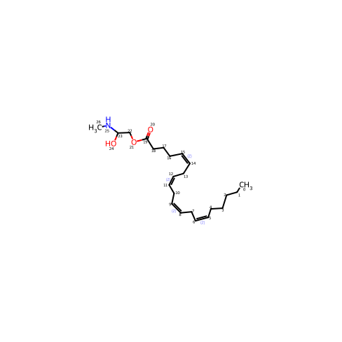 CCCCC/C=C\C/C=C\C/C=C\C/C=C\CCCC(=O)OCC(O)NC